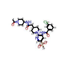 CC(=O)N1CCC(NC(=O)CC2CCN(c3ncc(S(C)(=O)=O)cc3NC(=O)c3cccc(Cl)c3)CC2)CC1